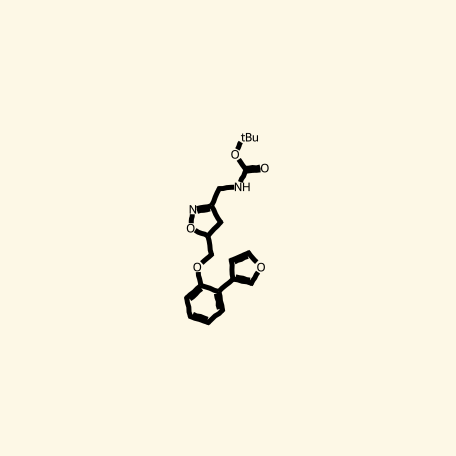 CC(C)(C)OC(=O)NCC1=NOC(COc2ccccc2-c2ccoc2)C1